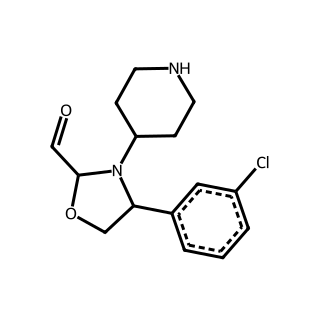 O=CC1OCC(c2cccc(Cl)c2)N1C1CCNCC1